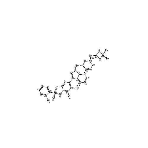 CC(C)n1nc(-c2ccc(NS(=O)(=O)c3ccccc3Cl)c(F)c2)c2c(N)ncc(C3=CC[C@H](NC4CC(F)(F)C4)CC3)c21